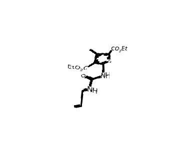 C=CCNC(=O)Nc1sc(C(=O)OCC)c(C)c1C(=O)OCC